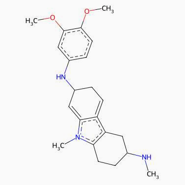 CNC1CCc2c(c3c(n2C)=CC(Nc2ccc(OC)c(OC)c2)CC=3)C1